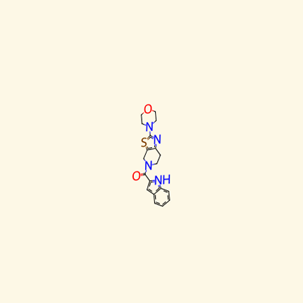 O=C(c1cc2ccccc2[nH]1)N1CCc2nc(N3CCOCC3)sc2C1